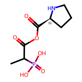 CC(C(=O)OC(=O)[C@@H]1CCCN1)P(=O)(O)O